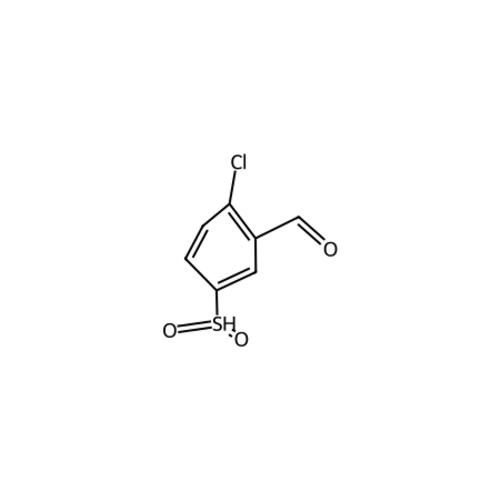 O=Cc1cc([SH](=O)=O)ccc1Cl